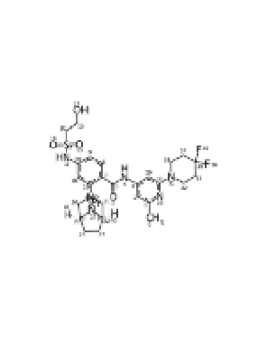 Cc1cc(NC(=O)c2ccc(NS(=O)(=O)CCO)cc2N2C[C@H]3CC[C@@H](C2)N3C(C)C)cc(N2CCC(F)(F)CC2)n1